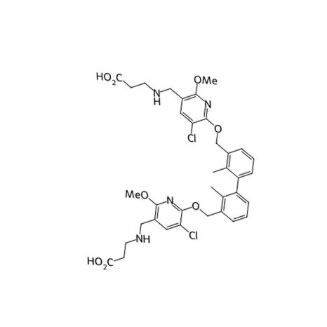 COc1nc(OCc2cccc(-c3cccc(COc4nc(OC)c(CNCCC(=O)O)cc4Cl)c3C)c2C)c(Cl)cc1CNCCC(=O)O